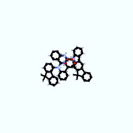 CC1(C)c2ccccc2-c2cc3c4ccccc4n(-c4nc(N(c5ccccc5-c5ccccc5)c5cccc6c5-c5ccccc5C6(C)C)c5ccccc5n4)c3cc21